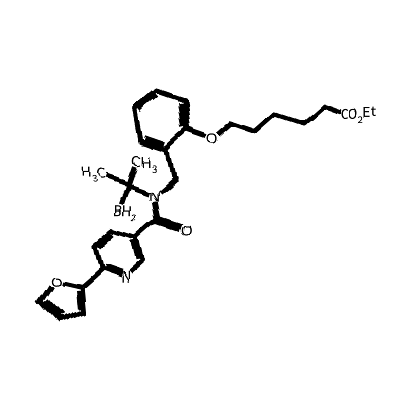 BC(C)(C)N(Cc1ccccc1OCCCCCC(=O)OCC)C(=O)c1ccc(-c2ccco2)nc1